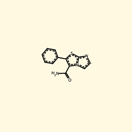 NC(=O)c1c(-c2ccccc2)sc2n[c]cn12